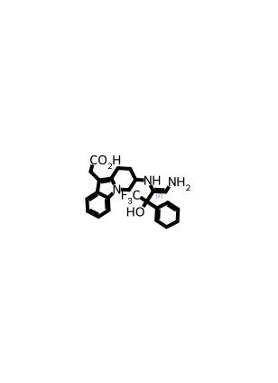 N/C=C(\NC1CCc2c(CC(=O)O)c3ccccc3n2C1)C(O)(C1=CCCC=C1)C(F)(F)F